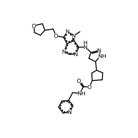 Cn1nc(OCC2CCOC2)c2ncnc(NC3=NNC(C4CCC(OC(=O)NCc5cccnc5)C4)C3)c21